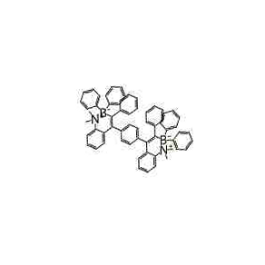 C[N+]1(C)c2ccccc2C(c2ccc(C3=C(c4ccccc4)[B-](c4ccccc4)(c4ccccc4)[N+](C)(C)c4ccccc43)cc2)=C(c2ccccc2)[B-]1(c1ccccc1)c1ccccc1